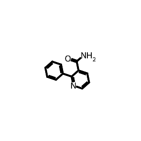 NC(=O)c1cccnc1-c1ccccc1